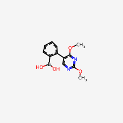 COc1ncc(-c2ccccc2B(O)O)c(OC)n1